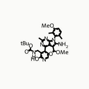 COC(=O)c1c(N)n(-c2c(C)ccc(OC)c2C)c2nc(C)nc(-c3ccnc(O)c3CNC(=O)OC(C)(C)C)c12